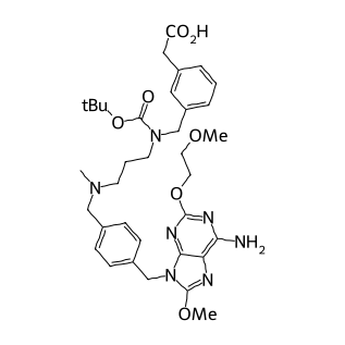 COCCOc1nc(N)c2nc(OC)n(Cc3ccc(CN(C)CCCN(Cc4cccc(CC(=O)O)c4)C(=O)OC(C)(C)C)cc3)c2n1